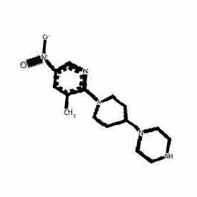 Cc1cc([N+](=O)[O-])cnc1N1CCC(N2CCNCC2)CC1